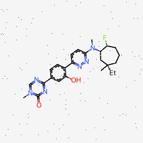 CC[C@]1(C)CCC[C@H](F)[C@H](N(C)c2ccc(-c3ccc(-c4ncn(C)c(=O)n4)cc3O)nn2)C1